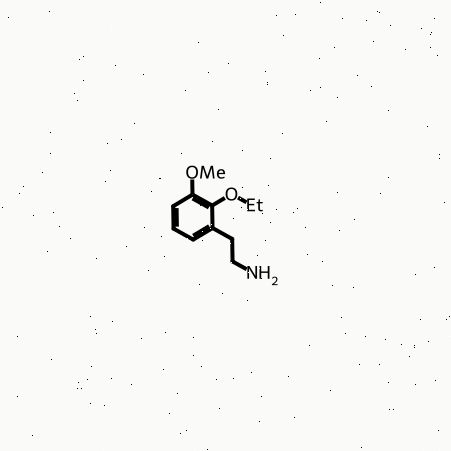 CCOc1c(CCN)cccc1OC